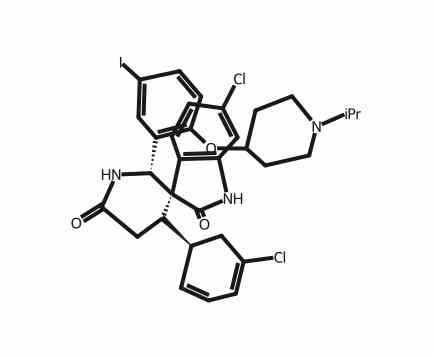 CC(C)N1CCC(Oc2ccc(I)cc2[C@H]2NC(=O)CC([C@@H]3C=CC=C(Cl)C3)[C@]23C(=O)Nc2cc(Cl)ccc23)CC1